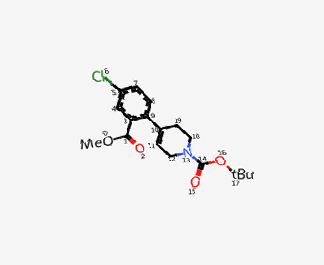 COC(=O)c1cc(Cl)ccc1C1=CCN(C(=O)OC(C)(C)C)CC1